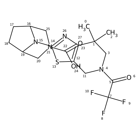 CC1(C)CN(C(=O)C(F)(F)F)Cc2sc(N3C4CCC3CN(C(=O)O)C4)nc21